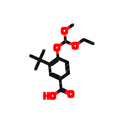 CCOC(OC)Oc1ccc(C(=O)O)cc1C(C)(C)C